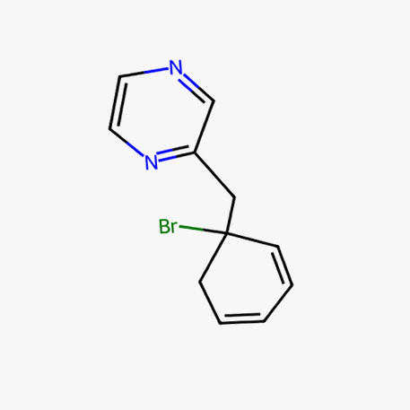 BrC1(Cc2cnccn2)C=CC=CC1